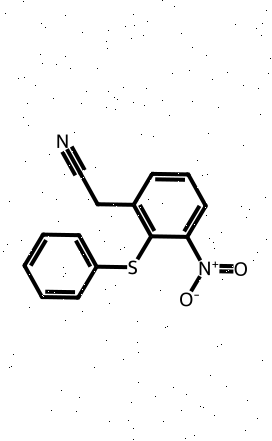 N#CCc1cccc([N+](=O)[O-])c1Sc1ccccc1